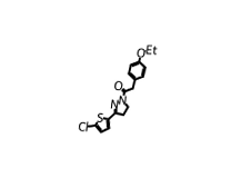 CCOc1ccc(CC(=O)N2CCC(c3ccc(Cl)s3)=N2)cc1